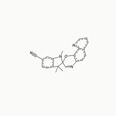 CN1c2cc(C#N)ccc2C(C)(C)C12C=Nc1ccc3cccnc3c1O2